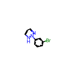 Brc1cccc(N2N=CC=CN2)c1